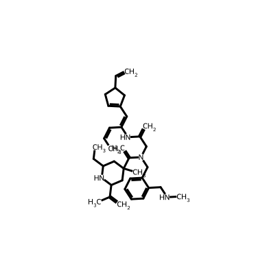 C=CC1CC=C(/C=C(\C=C/C)NC(=C)CN(Cc2ccccc2CNC)C(=C)C2(C)CC(CC)NC(C(=C)C)C2)C1